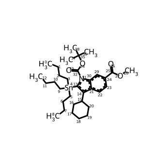 CCC[CH2][Sn]([CH2]CCC)([CH2]CCC)[c]1c(C2CCCCC2)c2ccc(C(=O)OC)cc2n1C(=O)OC(C)(C)C